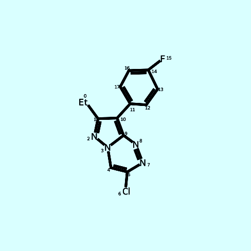 CCc1nn2cc(Cl)nnc2c1-c1ccc(F)cc1